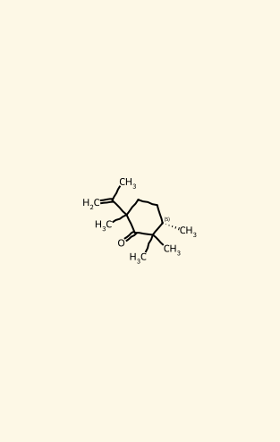 C=C(C)C1(C)CC[C@H](C)C(C)(C)C1=O